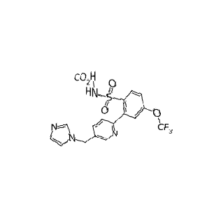 O=C(O)NS(=O)(=O)c1ccc(OC(F)(F)F)cc1-c1ccc(Cn2ccnc2)cn1